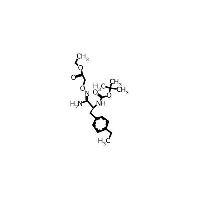 CCOC(=O)CO/N=C(\N)[C@H](Cc1ccc(CC)cc1)NC(=O)OC(C)(C)C